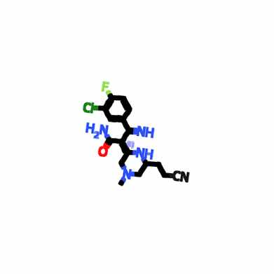 CN1C/C(=C(/C(=N)c2ccc(F)c(Cl)c2)C(N)=O)NC(CCC#N)C1